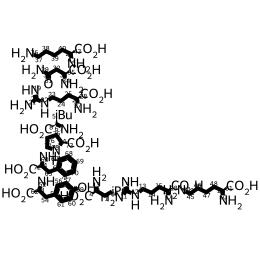 CC(C)C[C@H](N)C(=O)O.CC[C@H](C)[C@H](N)C(=O)O.N=C(N)NCCC[C@H](N)C(=O)O.N=C(N)NCCC[C@H](N)C(=O)O.NC(=O)C[C@H](N)C(=O)O.NCCCC[C@H](N)C(=O)O.NCCCC[C@H](N)C(=O)O.N[C@@H](Cc1ccc(O)cc1)C(=O)O.N[C@@H](Cc1ccccc1)C(=O)O.O=C(O)[C@@H]1CCCN1